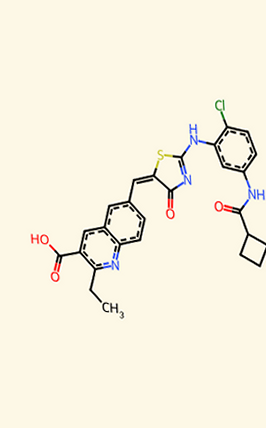 CCc1nc2ccc(C=C3SC(Nc4cc(NC(=O)C5CCC5)ccc4Cl)=NC3=O)cc2cc1C(=O)O